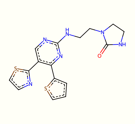 O=C1NCCN1CCNc1ncc(-c2nccs2)c(-c2cccs2)n1